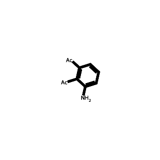 CC(=O)c1cccc(N)c1C(C)=O